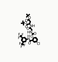 CC(C)(C)OC(=O)CC(NC(=O)CNC(=O)Oc1ccc(Cl)cc1C(=O)Nc1cc(C(F)(F)F)cc(C(F)(F)F)c1)C(=O)OC(C)(C)C